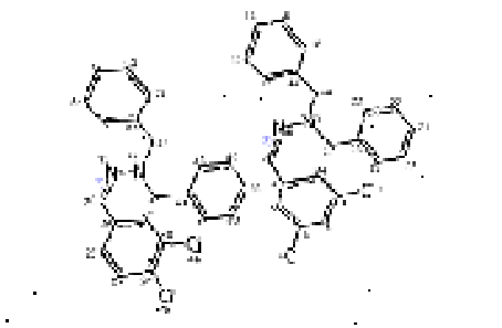 Clc1cc(Cl)cc(/C=N\N(Cc2ccccc2)Cc2ccccc2)c1.Clc1ccc(/C=N\N(Cc2ccccc2)Cc2ccccc2)cc1Cl